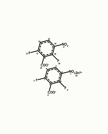 O=C([O-])c1c(F)ccc([N+](=O)[O-])c1F.O=C([O-])c1c(F)ccc([N+](=O)[O-])c1F.[Zn+2]